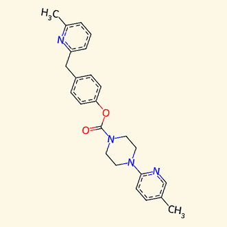 Cc1ccc(N2CCN(C(=O)Oc3ccc(Cc4cccc(C)n4)cc3)CC2)nc1